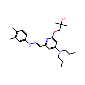 CCCN(CCC)c1cc(/C=N/Nc2ccc(C)c(C)c2)nc(OCC(C)(C)O)c1